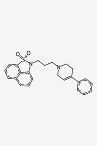 O=S1(=O)c2cccc3cccc(c23)N1CCCN1CC=C(c2ccccc2)CC1